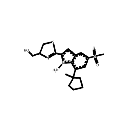 CC1(c2cc(S(C)(=O)=O)cc3cc(C4=NC(CO)CS4)n(N)c23)CCCC1